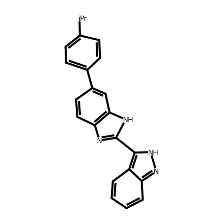 CC(C)c1ccc(-c2ccc3nc(-c4[nH]nc5ccccc45)[nH]c3c2)cc1